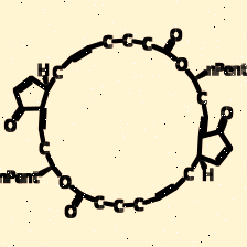 CCCCC[C@H]1C/C=C2\C(=O)C=C[C@@H]2C/C=C\CCCC(=O)O[C@@H](CCCCC)C/C=C2/C(=O)C=C[C@@H]2C/C=C\CCCC(=O)O1